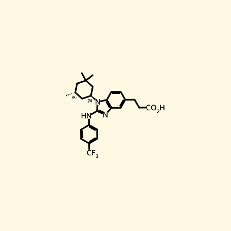 C[C@H]1C[C@H](n2c(Nc3ccc(C(F)(F)F)cc3)nc3cc(CCC(=O)O)ccc32)CC(C)(C)C1